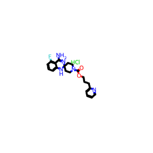 Cl.NC1=NC2(CCN(C(=O)OCCCc3ccccn3)CC2)Nc2cccc(F)c21